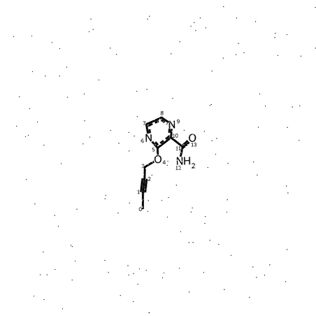 CC#CCOc1nccnc1C(N)=O